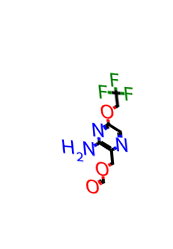 Nc1nc(OCC(F)(F)F)cnc1COC=O